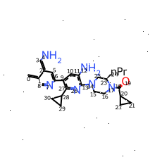 C=CC(=C/N)/C=C(\N=C)c1cc(N)c(N2CCN(C(=O)C3CC3)[C@H](CCC)C2)nc1C1CC1